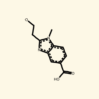 Cn1c(CC[O])nc2cc(C(=O)O)ccc21